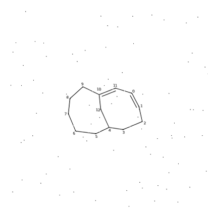 C1=CCCC2CCCCCC(=C1)C2